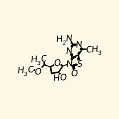 COC(C)[C@@H]1C[C@H](O)[C@H](n2c(=O)sc3c(C)nc(N)nc32)O1